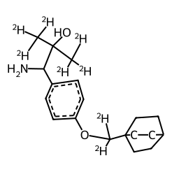 [2H]C([2H])([2H])C(O)(C(N)c1ccc(OC([2H])([2H])C23CCC(CC2)CC3)cc1)C([2H])([2H])[2H]